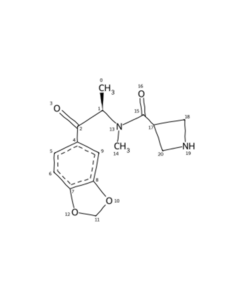 C[C@H](C(=O)c1ccc2c(c1)OCO2)N(C)C(=O)C1CNC1